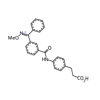 CO/N=C(/c1ccccc1)c1cccc(C(=O)Nc2ccc(CCC(=O)O)cc2)c1